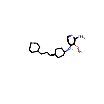 CCOc1c(NC2CCC(=CCCC3CCCCC3)CC2)ccnc1C